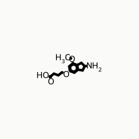 COc1cc(OCCCC(=O)O)cc2c1CC(N)C2